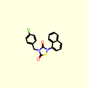 O=c1sn(-c2cccc3ccccc23)c(=O)n1Cc1ccc(Cl)cc1